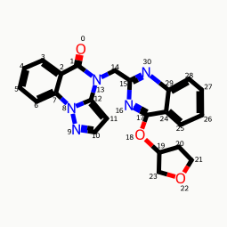 O=c1c2ccccc2n2nccc2n1Cc1nc(OC2CCOC2)c2ccccc2n1